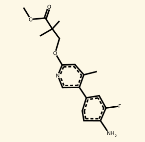 COC(=O)C(C)(C)COc1cc(C)c(-c2ccc(N)c(F)c2)cn1